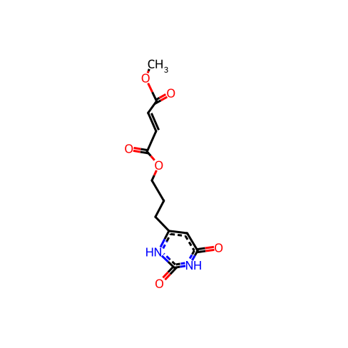 COC(=O)/C=C/C(=O)OCCCc1cc(=O)[nH]c(=O)[nH]1